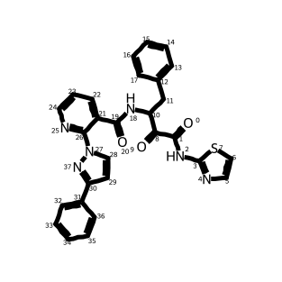 O=C(Nc1nccs1)C(=O)C(Cc1ccccc1)NC(=O)c1cccnc1-n1ccc(-c2ccccc2)n1